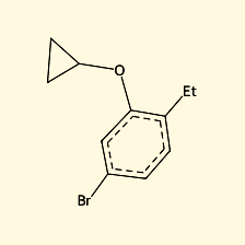 CCc1ccc(Br)cc1OC1CC1